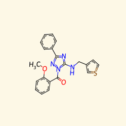 COc1ccccc1C(=O)n1nc(-c2ccccc2)nc1NCc1ccsc1